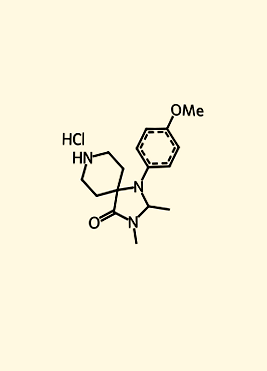 COc1ccc(N2C(C)N(C)C(=O)C23CCNCC3)cc1.Cl